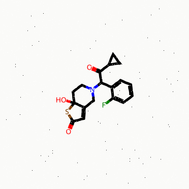 O=C1C=C2CN(C(C(=O)C3CC3)c3ccccc3F)CCC2(O)S1